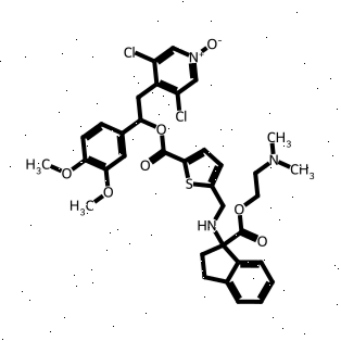 COc1ccc(C(Cc2c(Cl)c[n+]([O-])cc2Cl)OC(=O)c2ccc(CNC3(C(=O)OCCN(C)C)CCc4ccccc43)s2)cc1OC